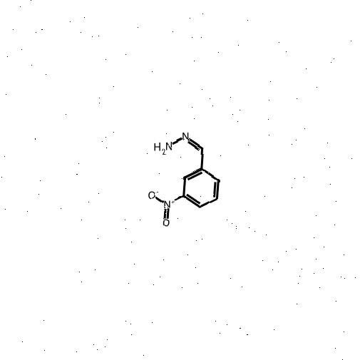 N/N=C\c1cccc([N+](=O)[O-])c1